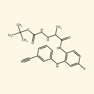 CC(NNC(=O)OC(C)(C)C)C(=O)Nc1ccc(F)cc1Nc1cccc(C#N)c1